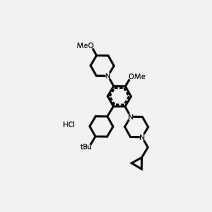 COc1cc(N2CCN(CC3CC3)CC2)c(C2CCC(C(C)(C)C)CC2)cc1N1CCC(OC)CC1.Cl